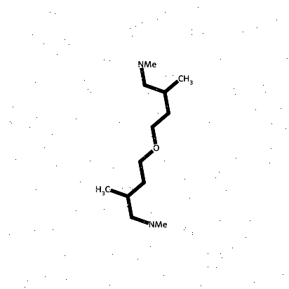 CNCC(C)CCOCCC(C)CNC